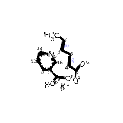 C/C=C/C=C/C(=O)[O-].O=C(O)c1cccnc1.[K+]